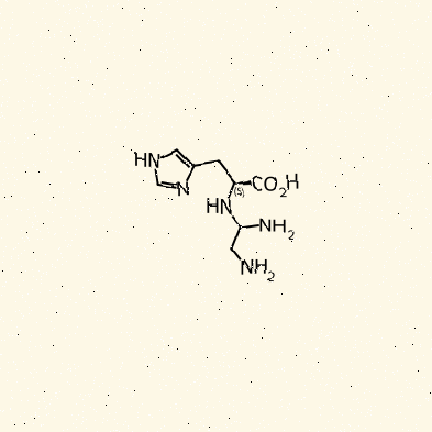 NCC(N)N[C@@H](Cc1c[nH]cn1)C(=O)O